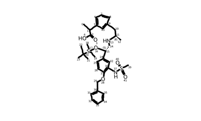 CC(C(=O)O)c1cccc(C[C@@H](C)NC[C@@H](O[Si](C)(C)C(C)(C)C)c2ccc(OCc3ccccc3)c(NS(C)(=O)=O)c2)c1